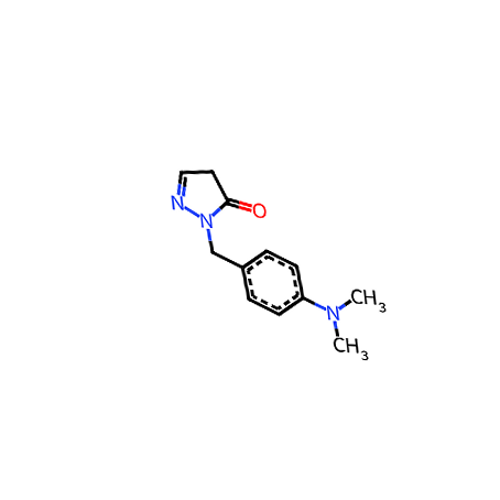 CN(C)c1ccc(CN2N=CCC2=O)cc1